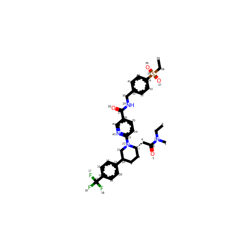 CCN(C)C(=O)C[C@@H]1CCC(c2ccc(C(F)(F)F)cc2)CN1c1ccc(C(=O)NCc2ccc(S(=O)(=O)CC)cc2)cn1